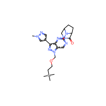 Cn1cc(-c2nn(COCC[Si](C)(C)C)c3cnc(N4C5CCC4C(=O)NC5)nc23)cn1